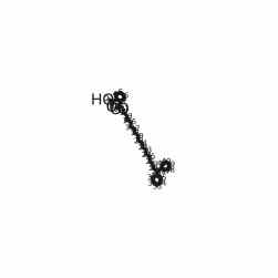 O=C(O)c1ccccc1C(=O)OCCCCCCCCCCCCCCCCCC(c1ccccc1)c1ccccc1